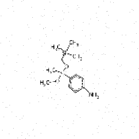 CO[Si](C)(OC[Si](C)(C)C)c1ccc(N)cc1